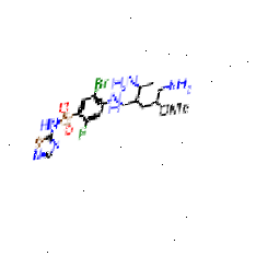 COC(CN)CC(CNc1cc(F)c(S(=O)(=O)Nc2ncns2)cc1Br)C(C)N